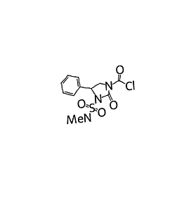 CNS(=O)(=O)N1C(=O)N(C(=O)Cl)CC1c1ccccc1